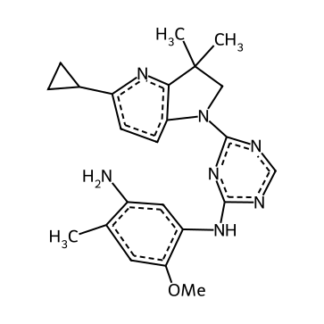 COc1cc(C)c(N)cc1Nc1ncnc(N2CC(C)(C)c3nc(C4CC4)ccc32)n1